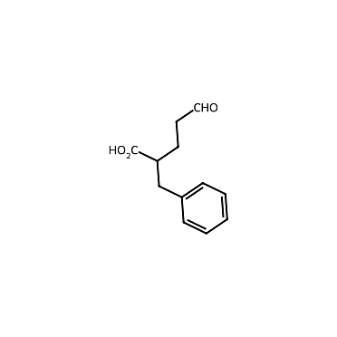 O=CCCC(Cc1ccccc1)C(=O)O